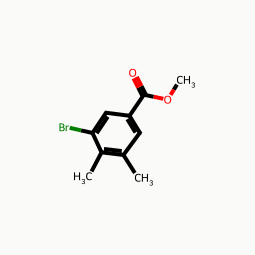 COC(=O)c1cc(C)c(C)c(Br)c1